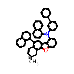 C[C@@H]1C=Cc2c(-c3cccc4ccccc34)cc3c(oc4cccc(N(c5cccc(-c6ccccc6)c5)c5cccc6ccccc56)c43)c2C1